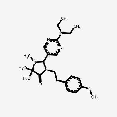 CCN(CC)c1ncc(C2N(CCc3ccc(OC)cc3)C(=O)C(C)(C)N2C)cn1